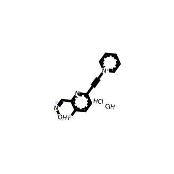 Cl.Cl.O/N=C\c1nc(C#C[n+]2ccccc2)ccc1F